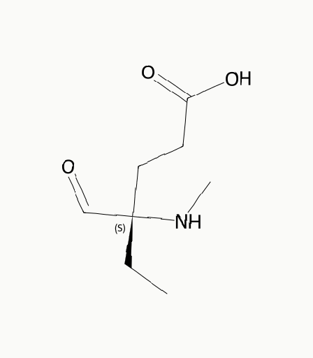 CC[C@@](C=O)(CCC(=O)O)NC